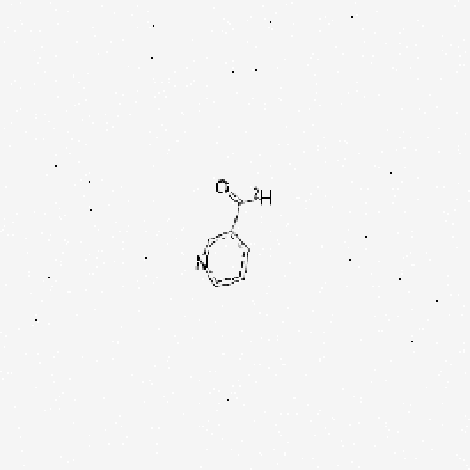 [2H]C(=O)c1cccnc1